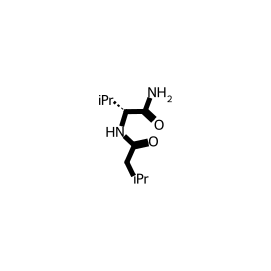 CC(C)CC(=O)N[C@@H](C(N)=O)C(C)C